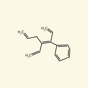 C=CCC(C=C)=C(C=C)c1ccccc1